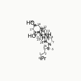 CC(C)[CH]CC[C@@H](C)[C@H]1CC[C@H]2[C@@H]3CC=C4C[C@@H](O)CC(O)[C@]4(C)[C@H]3CC[C@]12C